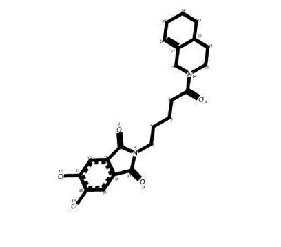 O=C(CCCCN1C(=O)c2cc(Cl)c(Cl)cc2C1=O)N1CCC2CCCC=C2C1